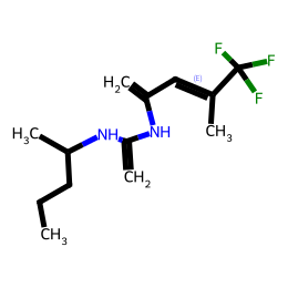 C=C(/C=C(\C)C(F)(F)F)NC(=C)NC(C)CCC